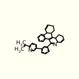 C=C(C)c1ccc(-c2cccc(C3=NC4C=CCCC4C4=C3c3ccccc3C3C=CCCC43)c2)cn1